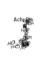 CC(=O)NC1C(O)[C@H](O)C(CO)O[C@H]1OCCn1cc(CCC(=O)NCCOCCOCC(=O)NCCCC[C@H](NC(=O)[C@H](CCC(=O)O)NC(=O)[C@H](CCC(=O)O)NC(=O)C(C)C)C(N)=O)nn1